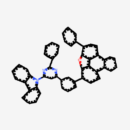 c1ccc(-c2nc(-c3cccc(-c4ccc5c6ccccc6c6ccc(-c7ccccc7)c7oc4c5c76)c3)cc(-n3c4ccccc4c4ccccc43)n2)cc1